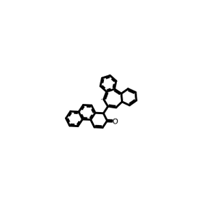 O=C1C=Cc2c(ccc3ccccc23)C1C1=CC2C=CC=CC2=c2ccccc2=[C]1